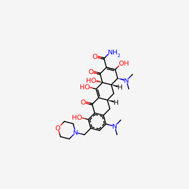 CN(C)c1cc(CN2CCOCC2)c(O)c2c1C[C@H]1C[C@H]3[C@H](N(C)C)C(O)=C(C(N)=O)C(=O)[C@@]3(O)C(O)=C1C2=O